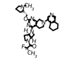 C[C@H](F)C(=O)N1CC[C@@H]2[C@H]1CN2c1nc(OC[C@@H]2CCCN2C)nc2c1CCN(c1cncc3c1CCCC3)C2